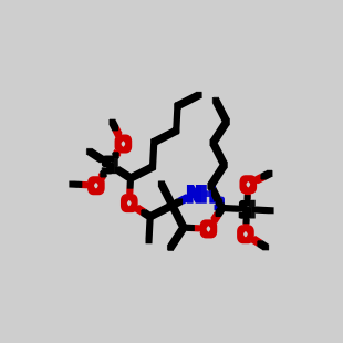 CCCCCC(OC(C)C(C)(N)C(C)OC(CCCCC)[Si](C)(OC)OC)[Si](C)(OC)OC